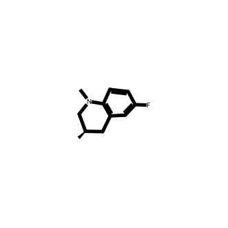 C[C@@H]1Cc2cc(F)ccc2N(C)C1